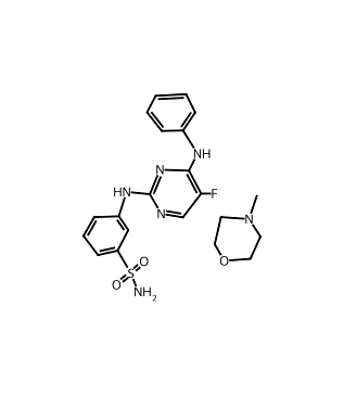 CN1CCOCC1.NS(=O)(=O)c1cccc(Nc2ncc(F)c(Nc3ccccc3)n2)c1